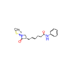 CSN1C[C@@H](C/C=C/CCC(=O)Nc2ccccc2)C1=O